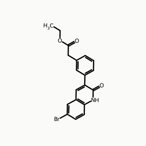 CCOC(=O)Cc1cccc(-c2cc3cc(Br)ccc3[nH]c2=O)c1